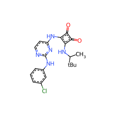 CC(Nc1c(Nc2ccnc(Nc3cccc(Cl)c3)n2)c(=O)c1=O)C(C)(C)C